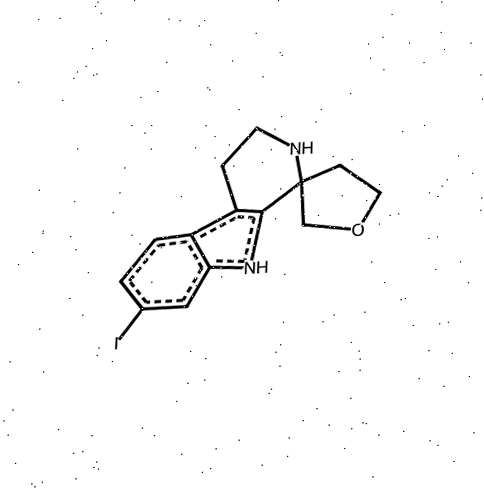 Ic1ccc2c3c([nH]c2c1)C1(CCOC1)NCC3